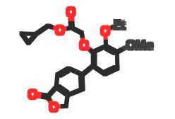 CCOc1c(OC)ccc(-c2ccc3c(c2)COC3=O)c1OCC(=O)OCC1CC1